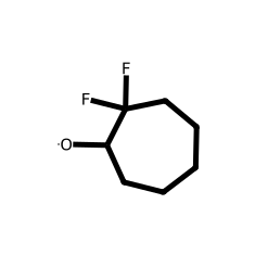 [O]C1CCCCCC1(F)F